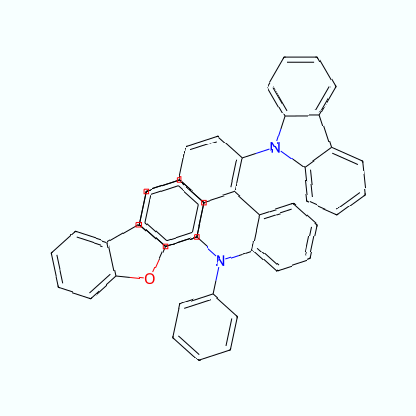 c1ccc(N(c2ccccc2-c2c(-n3c4ccccc4c4ccccc43)ccc3ccccc23)c2cccc3c2oc2ccccc23)cc1